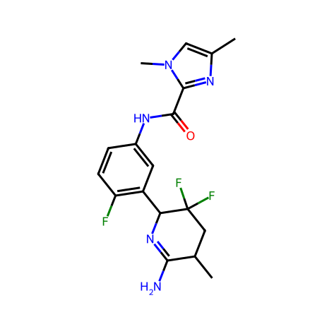 Cc1cn(C)c(C(=O)Nc2ccc(F)c(C3N=C(N)C(C)CC3(F)F)c2)n1